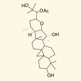 CC(=O)OC(C1C[C@@H](C)[C@H]2C(O1)[C@H](O)[C@@]1(C)C3CCC4C(C)(C)C(O)CCC45CC35CCC21C)C(C)(C)O